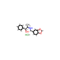 CC(NCc1ccc2c(c1)OCO2)C(O)c1ccccc1.Cl